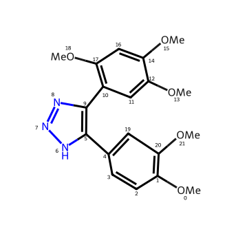 COc1ccc(-c2[nH]nnc2-c2cc(OC)c(OC)cc2OC)cc1OC